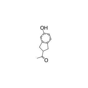 CC(=O)C1Cc2ccc(O)cc2C1